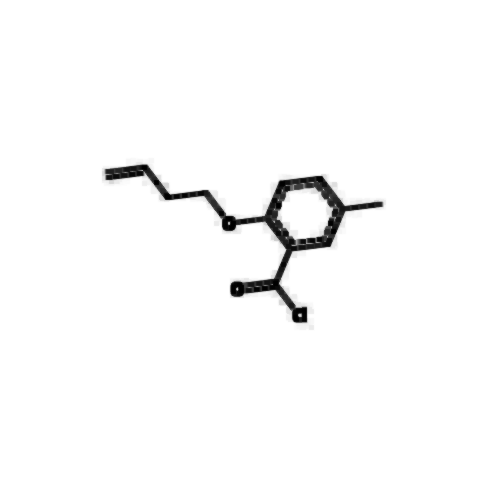 C=CCCOc1ccc(C)cc1C(=O)Cl